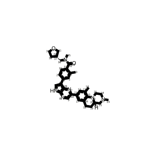 Cc1cc(-c2c[nH]c3ncc(-c4cc(C)c5c(c4)CC[C@H]4CN(C)CCN54)nc23)ccc1C(=O)N(C)C[C@@H]1CCOC1